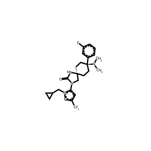 CN(C)[C@]1(c2cccc(F)c2)CC[C@]2(CC1)CN(c1cc(C(F)(F)F)nn1CC1CC1)C(=O)N2